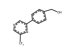 OCc1ccc(-c2cncc(C(F)(F)F)n2)cc1